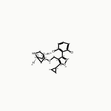 Clc1cccc(Cl)c1-c1noc(C2CC2)c1CO[C@H]1C[C@@H]2C[C@H]1CN2